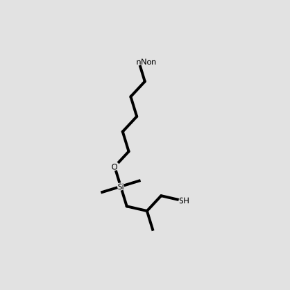 CCCCCCCCCCCCCCO[Si](C)(C)CC(C)CS